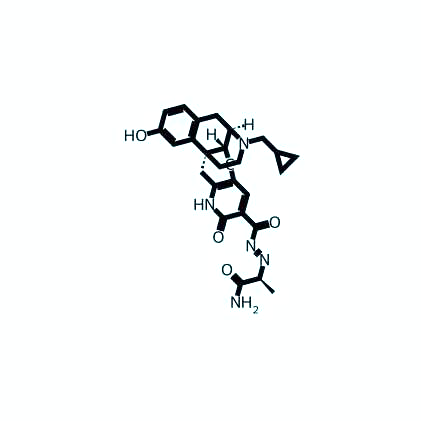 C[C@H](N=NC(=O)c1cc2c([nH]c1=O)C[C@]13CCN(CC4CC4)[C@H](Cc4ccc(O)cc41)[C@@H]3C2)C(N)=O